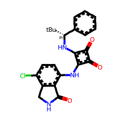 CC(C)(C)[C@@H](Nc1c(Nc2ccc(Cl)c3c2C(=O)NC3)c(=O)c1=O)c1ccccc1